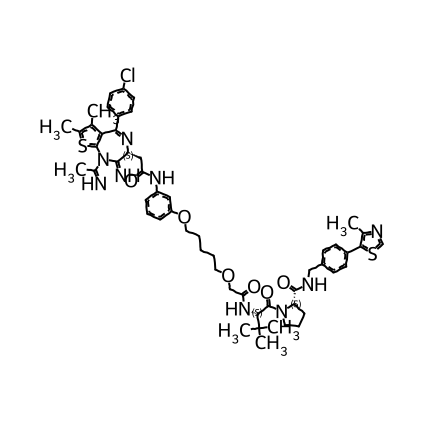 CC(=N)N1C(=N)[C@H](CC(=O)Nc2cccc(OCCCCCOCC(=O)N[C@H](C(=O)N3CCC[C@H]3C(=O)NCc3ccc(-c4scnc4C)cc3)C(C)(C)C)c2)N=C(c2ccc(Cl)cc2)c2c1sc(C)c2C